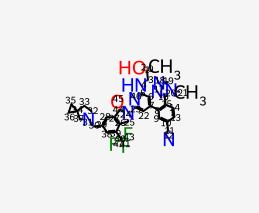 C[C@@H](O)CNc1cc(-c2cc(C#N)ccc2-c2nncn2C)cc(N2Cc3c(cc(CN4CCC5(CC5)C4)cc3C(F)(F)F)C2=O)n1